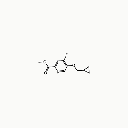 COC(=O)c1cc(F)c(OCC2CC2)cn1